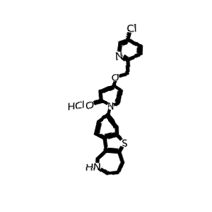 Cl.O=c1cc(OCc2ccc(Cl)cn2)ccn1-c1ccc2c3c(sc2c1)CCCNC3